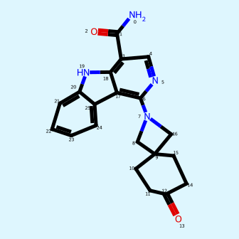 NC(=O)c1cnc(N2CC3(CCC(=O)CC3)C2)c2c1[nH]c1ccccc12